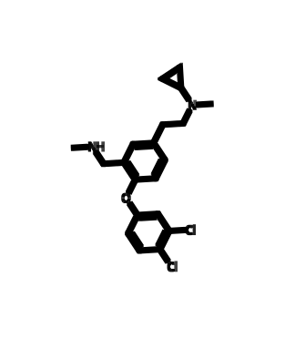 CNCc1cc(CCN(C)C2CC2)ccc1Oc1ccc(Cl)c(Cl)c1